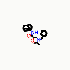 CC1COC(C(=O)NC2C3CC4CC(C3)CC2C4)CN1Cc1ccccc1